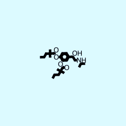 CCCC(C)(C)C(=O)Oc1ccc(C(O)CNC(C)C)cc1OC(=O)C(C)(C)CCC